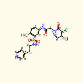 Cc1ccc(NC(=O)Cn2ncc(Cl)c(Cl)c2=O)cc1S(=O)(=O)NCCc1ccncc1